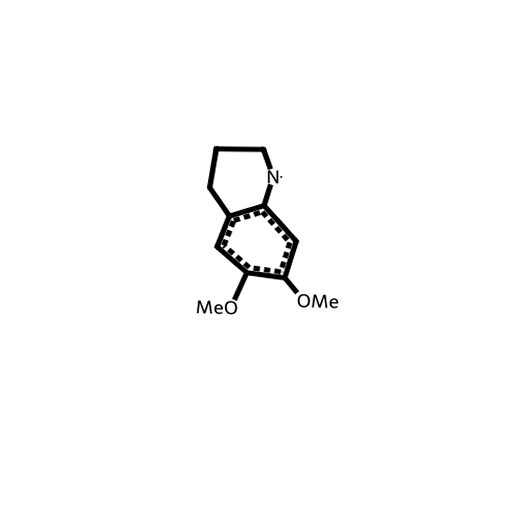 COc1cc2c(cc1OC)[N]CCC2